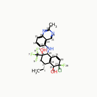 CC[C@@H]1C[C@](O)(C(F)(F)F)[C@@H](Nc2cccc3nc(C)ncc23)C2=C1C(O)C(F)(Cl)C=C2